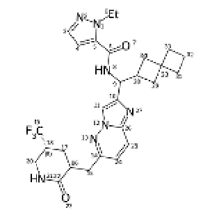 CCn1nccc1C(=O)NC(c1cn2nc(CC3C[C@@H](C(F)(F)F)CNC3=O)ccc2n1)C1CC2(CCC2)C1